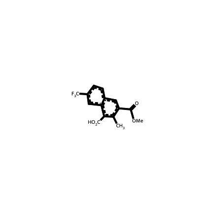 COC(=O)c1cc2ccc(C(F)(F)F)cc2c(C(=O)O)c1C